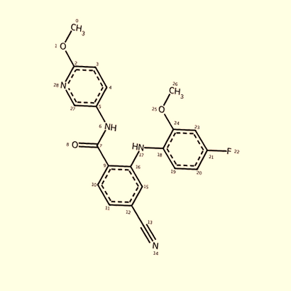 COc1ccc(NC(=O)c2ccc(C#N)cc2Nc2ccc(F)cc2OC)cn1